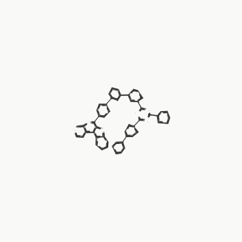 c1ccc(-c2ccc(-c3nc(-c4ccccc4)nc(-c4cccc(-c5cccc(-c6ccc(-c7nc8cnccc8c8c7sc7ccccc78)cc6)c5)c4)n3)cc2)cc1